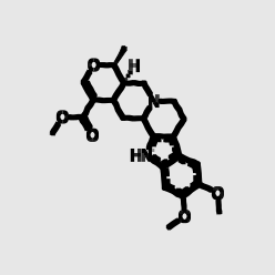 COC(=O)C1=CO[C@@H](C)[C@H]2CN3CCc4c([nH]c5cc(OC)c(OC)cc45)C3CC12